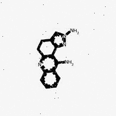 Nc1c2c(nc3ccccc13)CCc1cn(N)nc1-2